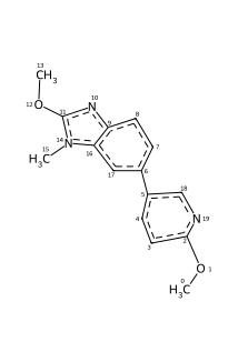 COc1ccc(-c2ccc3nc(OC)n(C)c3c2)cn1